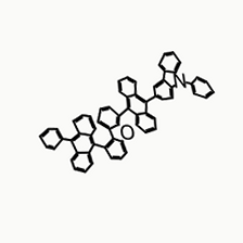 c1ccc(-c2c3ccccc3c(-c3cccc4oc5c(-c6c7ccccc7c(-c7ccc8c(c7)c7ccccc7n8-c7ccccc7)c7ccccc67)cccc5c34)c3ccccc23)cc1